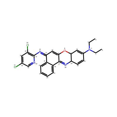 CCN(CC)C1=CC2OC3=C/C(=N/c4ncc(Cl)cc4Cl)c4ccccc4C3=NC2C=C1